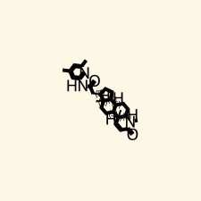 Cc1cc(C)nc(NC(=O)C[C@H]2CC[C@H]3[C@@H]4CC[C@H]5N(C)C(=O)C=C[C@]5(C)[C@H]4CC[C@]23C)c1